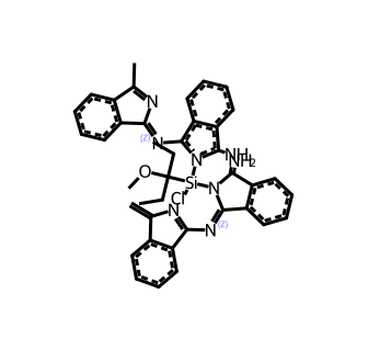 C=C1N=C(/N=C2/c3ccccc3C(=N)N2[Si](Cl)(n2c(N)c3ccccc3c2/N=C2\N=C(C)c3ccccc32)C(CC)(CC)OC)c2ccccc21